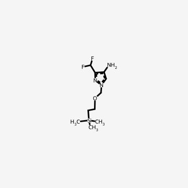 C[Si](C)(C)CCOCn1cc(N)c(C(F)F)n1